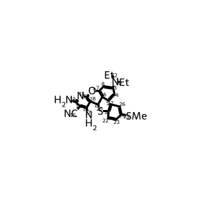 CCN(CC)c1ccc2c(c1)Oc1nc(N)c(C#N)c(N)c1C2Sc1ccc(SC)cc1